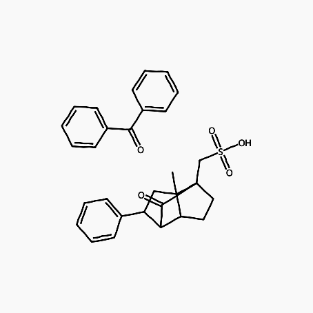 CC12CC(c3ccccc3)C3C(=O)C1(CS(=O)(=O)O)CCC32.O=C(c1ccccc1)c1ccccc1